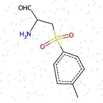 Cc1ccc(S(=O)(=O)CC(N)C=O)cc1